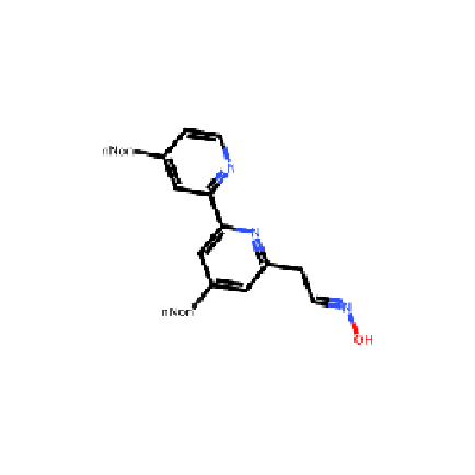 CCCCCCCCCc1ccnc(-c2cc(CCCCCCCCC)cc(CC=NO)n2)c1